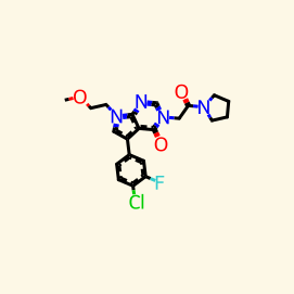 COCCn1cc(-c2ccc(Cl)c(F)c2)c2c(=O)n(CC(=O)N3CCCC3)cnc21